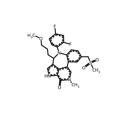 COCCCC1c2c[nH]c3c(=O)n(C)cc(c23)-c2cc(CS(C)(=O)=O)ccc2N1c1ccc(F)cc1F